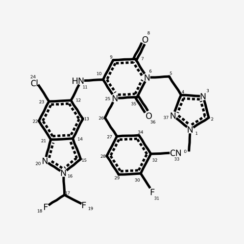 Cn1cnc(Cn2c(=O)cc(Nc3cc4cn(C(F)F)nc4cc3Cl)n(Cc3ccc(F)c(C#N)c3)c2=O)n1